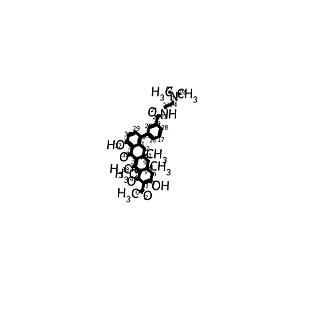 CC(=O)C1=C(O)C[C@]2(C)C[C@]3(C)Cc4c(-c5cccc(C(=O)NCCN(C)C)c5)ccc(O)c4C(=O)C3=C(C)[C@]2(C)C1=O